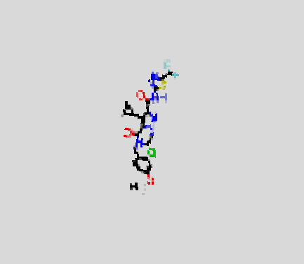 COc1ccc(CN2CCn3nc(C(=O)Nc4nnc(C(F)F)s4)c(C4CC4)c3C2=O)c(Cl)c1